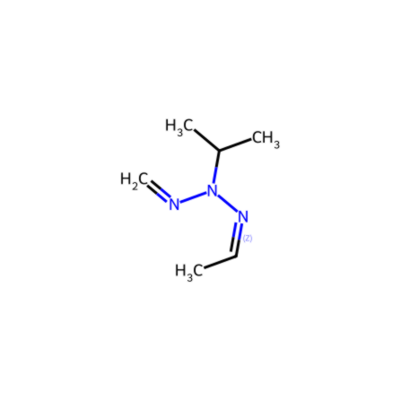 C=NN(/N=C\C)C(C)C